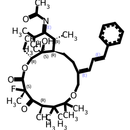 CC[C@H]1OC(=O)[C@@](C)(F)C(=O)[C@H](C)C(C)(C)C(C)(C)OC/C(=C/C=C/c2ccccc2)CC[C@H]([C@@H](C)/C(=N/C(C)=O)C(C)C)[C@]1(C)O